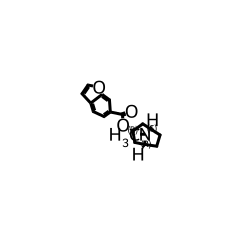 CN1[C@@H]2CC[C@H]1C[C@@H](OC(=O)c1ccc3ccoc3c1)C2